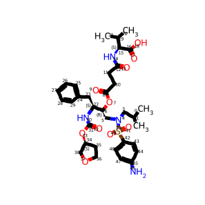 CC(C)CN(C[C@@H](OC(=O)CCC(=O)N[C@H](C(=O)O)C(C)C)[C@H](Cc1ccccc1)NC(=O)O[C@H]1CCOC1)S(=O)(=O)c1ccc(N)cc1